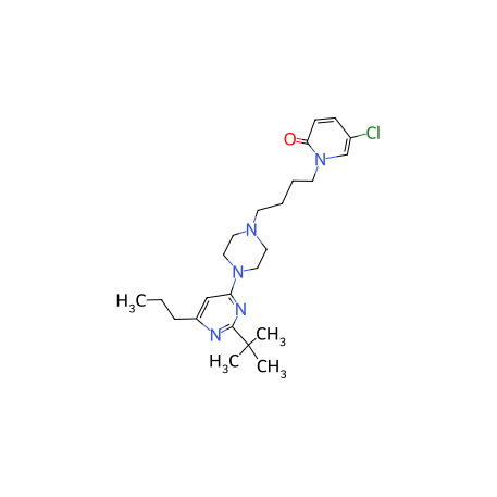 CCCc1cc(N2CCN(CCCCn3cc(Cl)ccc3=O)CC2)nc(C(C)(C)C)n1